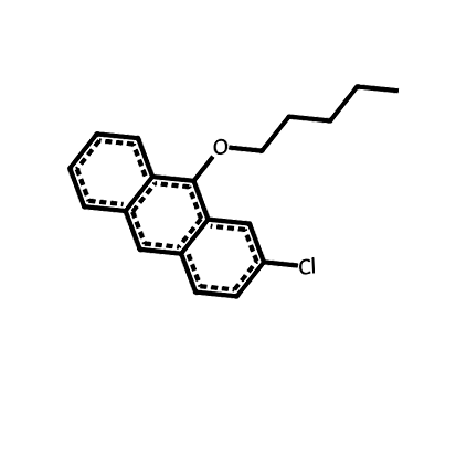 CCCCCOc1c2ccccc2cc2ccc(Cl)cc12